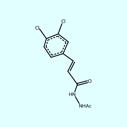 CC(=O)NNC(=O)C=Cc1ccc(Cl)c(Cl)c1